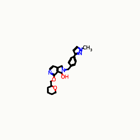 Cn1ccc(-c2ccc(CN3Cc4ccnc(OCC5CCCCO5)c4C3O)cc2)n1